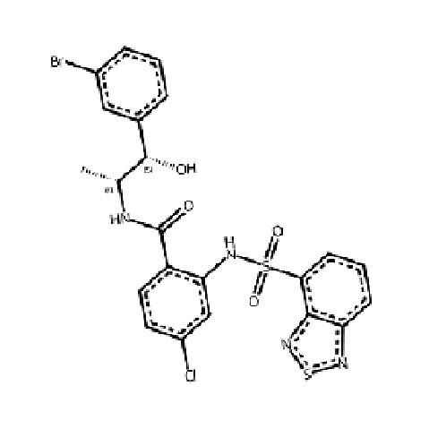 C[C@@H](NC(=O)c1ccc(Cl)cc1NS(=O)(=O)c1cccc2nsnc12)[C@@H](O)c1cccc(Br)c1